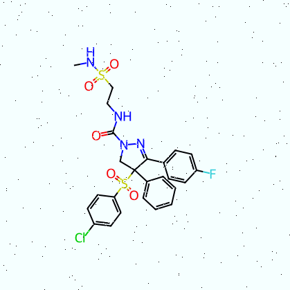 CNS(=O)(=O)CCNC(=O)N1CC(c2ccccc2)(S(=O)(=O)c2ccc(Cl)cc2)C(c2ccc(F)cc2)=N1